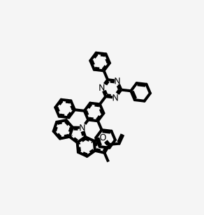 C=Cc1oc2c(ccc3c4ccccc4n(-c4c(C5=CCCC=C5)cc(-c5nc(C6=CCCC=C6)nc(-c6ccccc6)n5)cc4-c4ccccc4)c32)c1C